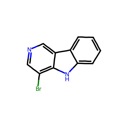 Brc1cncc2c1[nH]c1ccccc12